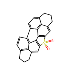 O=S1(=O)c2cc3c4c(ccc5c6ccc7c8c(cc1c(c2c45)c86)CCC7)CCC3